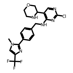 Cn1cc(C(F)(F)F)nc1-c1ccc(CNc2nc(Cl)ncc2C2COCCN2)cc1